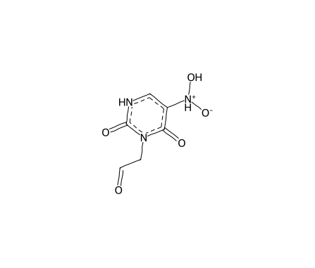 O=CCn1c(=O)[nH]cc([NH+]([O-])O)c1=O